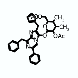 CC(=O)OCC1OC(Oc2c(Cc3ccco3)nc3c(Cc4ccccc4)nc(-c4ccccc4)cn23)C(OC(C)=O)C(C)C1C